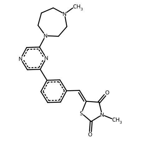 CN1CCCN(c2cncc(-c3cccc(/C=C4\SC(=O)N(C)C4=O)c3)n2)CC1